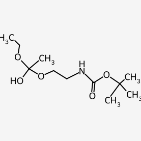 CCOC(C)(O)OCCNC(=O)OC(C)(C)C